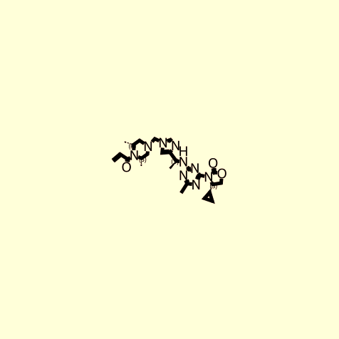 C=CC(=O)N1[C@H](C)CN(Cn2cnc([C@H](C)Nc3nc(C)nc(N4C(=O)OC[C@@H]4C4CC4)n3)c2)C[C@@H]1C